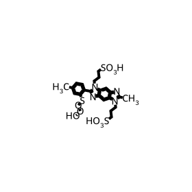 Cc1ccc(-c2nc3cc4c(cc3n2CCCS(=O)(=O)O)nc(C)n4CCCS(=O)(=O)O)c(SOOO)c1